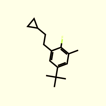 Cc1cc(C(C)(C)C)cc(CCC2CC2)c1F